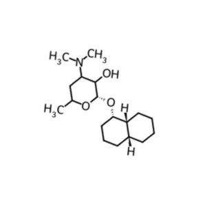 CC1CC(N(C)C)C(O)[C@H](O[C@H]2CCC[C@H]3CCCC[C@H]32)O1